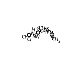 COc1cc2c(Nc3ccc(Cl)c(Cl)c3)ncnc2cc1OCc1nsc(CN2CCN(C)CC2)n1